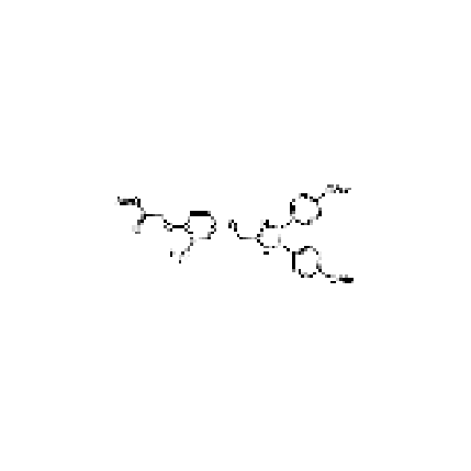 COC(=O)COc1ccc(OCc2nc(-c3ccc(OC)cc3)c(-c3ccc(OC)cc3)o2)cc1C